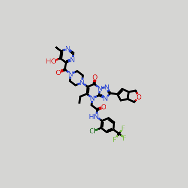 CCc1c(N2CCN(C(=O)c3ncnc(C)c3O)CC2)c(=O)n2nc(C3=CC4COCC4C3)nc2n1CC(=O)Nc1ccc(C(F)(F)F)cc1Cl